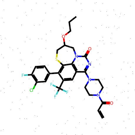 C=CC(=O)N1CCN(c2nc(=O)n3c4c(c(-c5ccc(F)c(Cl)c5)c(C(F)(F)F)cc24)SCC(OCCC)C3)CC1